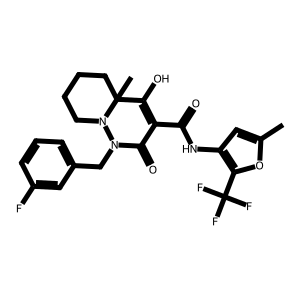 Cc1cc(NC(=O)C2=C(O)C3(C)CCCCN3N(Cc3cccc(F)c3)C2=O)c(C(F)(F)F)o1